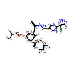 C=C(NCc1cnc(C(C)(N)F)nc1)c1cc(OCC(C)CC)cc(C(=C)S/C(C)=C\C)c1